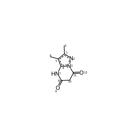 Cc1nn2c(c1C)NC(=O)CC2=O